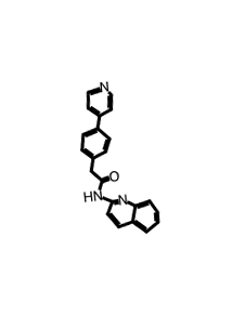 O=C(Cc1ccc(-c2ccncc2)cc1)Nc1ccc2ccccc2n1